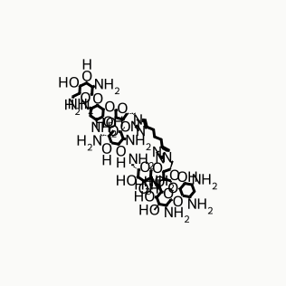 NCC1O[C@H](OC2C(N)C[C@@H](N)C(O)[C@H]2O[C@@H]2O[C@H](Cn3cc(CCCc4cn(C[C@H]5O[C@@H](O[C@H]6C(O[C@H]7OC(CN)C(O)[C@H](O)C7N)C(N)C[C@@H](N)C6O)[C@@H](O)C5O[C@H]5O[C@@H](CN)C(O)C(O)C5N)nn4)nn3)C(O[C@H]3O[C@@H](CN)C(O)C(O)C3N)[C@@H]2O)C(N)[C@@H](O)C1O